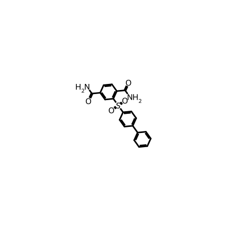 NC(=O)c1ccc(C(N)=O)c(S(=O)(=O)c2ccc(-c3ccccc3)cc2)c1